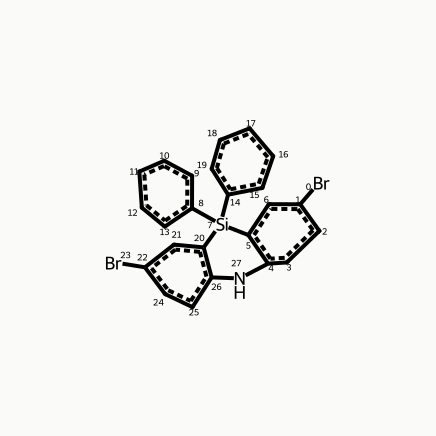 Brc1ccc2c(c1)[Si](c1ccccc1)(c1ccccc1)c1cc(Br)ccc1N2